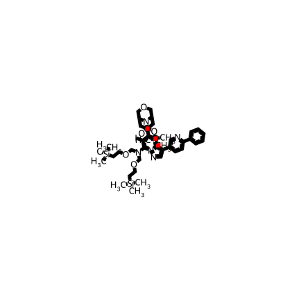 CC(C)(C)OC(=O)N1C2COCC1CC(c1nc3c(-c4ccc(-c5ccccc5)nc4)cnn3c(N(COCC[Si](C)(C)C)COCC[Si](C)(C)C)c1I)C2